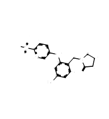 CS(=O)(=O)c1ccc(Oc2cc(Br)ccc2CN2CCCC2=O)cn1